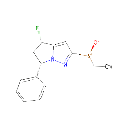 N#CC[S@+]([O-])c1cc2n(n1)[C@H](c1ccccc1)C[C@@H]2F